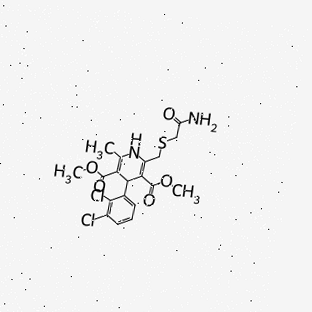 COC(=O)C1=C(C)NC(CSCC(N)=O)=C(C(=O)OC)C1c1cccc(Cl)c1Cl